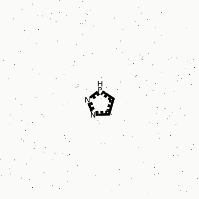 [c]1c[pH]nn1